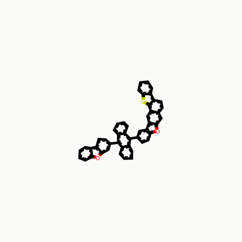 c1ccc2c(c1)oc1cc(-c3c4ccccc4c(-c4ccc5oc6cc7ccc8c9ccccc9sc8c7cc6c5c4)c4ccccc34)ccc12